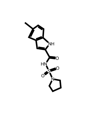 Cc1ccc2[nH]c(C(=O)NS(=O)(=O)N3CCCC3)cc2c1